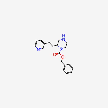 O=C(OCc1ccccc1)N1CCNCC1CCc1cccnc1